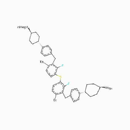 CCCCCCC[C@H]1CC[C@H](c2ccc(Cc3c(CC)ccc(Sc4ccc(CC)c(Cc5ccc([C@H]6CC[C@H](CCCCCCC)CC6)cc5)c4F)c3F)cc2)CC1